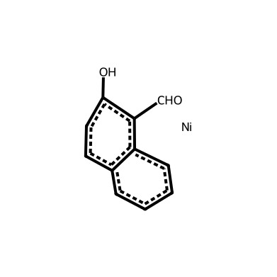 O=Cc1c(O)ccc2ccccc12.[Ni]